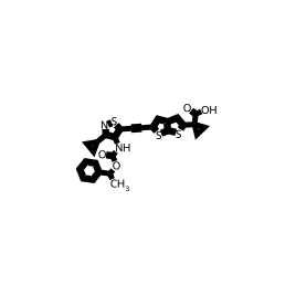 CC(OC(=O)Nc1c(C2CC2)nsc1C#Cc1cc2cc(C3(C(=O)O)CC3)sc2s1)c1ccccc1